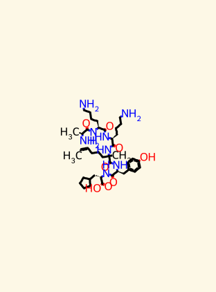 C/C=C\CCCC(C)(NC(=O)[C@H](CCCCN)NC(=O)[C@H](CCCCN)NC(=O)[C@H](C)N)C(=O)N[C@@H](Cc1ccc(O)cc1)C(=O)N[C@@H](CC1CCCC1)C(=O)O